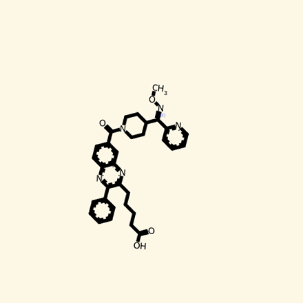 CO/N=C(/c1ccccn1)C1CCN(C(=O)c2ccc3nc(-c4ccccc4)c(CCCCC(=O)O)nc3c2)CC1